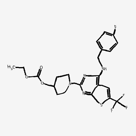 CCOC(=O)OC1CCN(c2nc(NCc3ccc(F)cc3)c3cc(C(F)(F)F)sc3n2)CC1